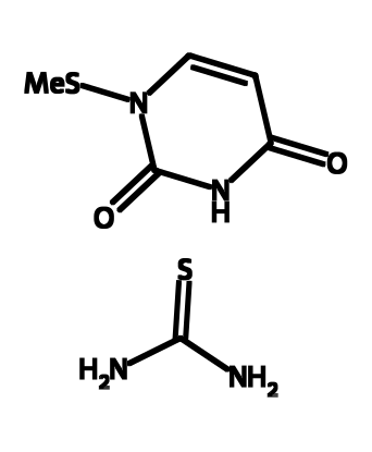 CSn1ccc(=O)[nH]c1=O.NC(N)=S